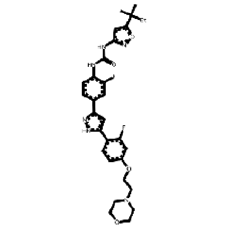 CCC(C)(C)c1cc(NC(=O)Nc2ccc(-c3cc(-c4ccc(OCCN5CCOCC5)cc4F)[nH]n3)cc2F)no1